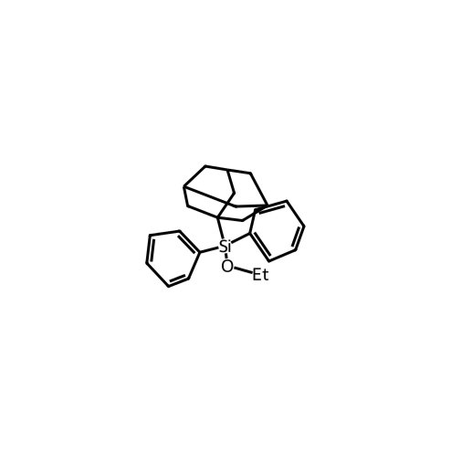 CCO[Si](c1ccccc1)(c1ccccc1)C12CC3CC(CC(C3)C1)C2